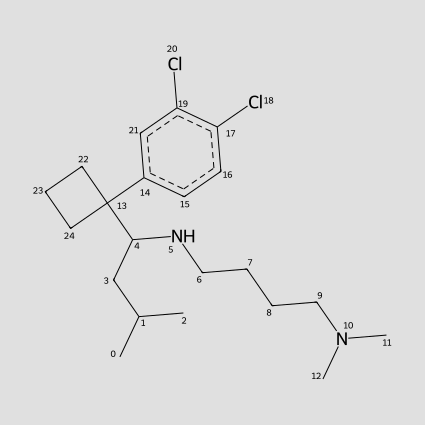 CC(C)CC(NCCCCN(C)C)C1(c2ccc(Cl)c(Cl)c2)CCC1